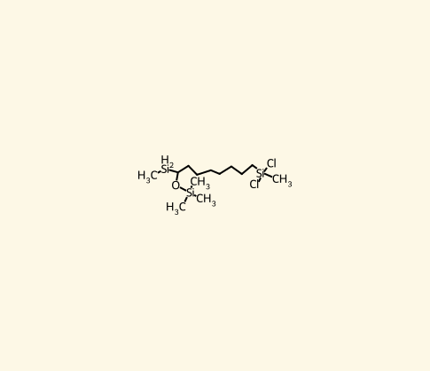 C[SiH2]C(CCCCCCC[Si](C)(Cl)Cl)O[Si](C)(C)C